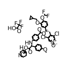 COc1ccc(C(Nc2ccc(C(=O)O[C@@H](Cc3c(Cl)c[n+]([O-])cc3Cl)c3ccc(OC(F)F)c(OCC4CC4)c3)cc2)C(=O)O[C@H]2CN3CCC2CC3)cc1.O=C(O)C(F)(F)F